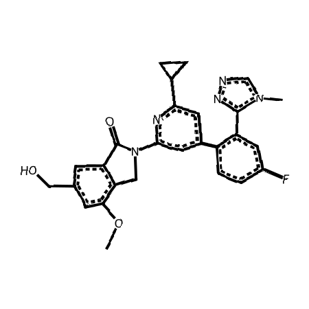 COc1cc(CO)cc2c1CN(c1cc(-c3ccc(F)cc3-c3nncn3C)cc(C3CC3)n1)C2=O